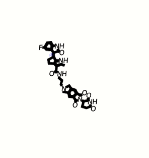 Cc1[nH]c2c(c1C(=O)NCCCN1Cc3cc4c(cc3C1)C(=O)N(C1CCC(=O)NC1=O)C4=O)CC/C2=C1/C(=O)Nc2ccc(F)cc21